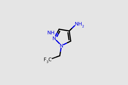 N.Nc1cnn(CC(F)(F)F)c1